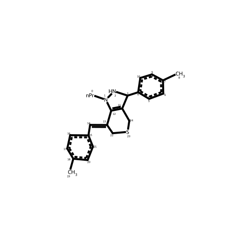 CCCN1NC(c2ccc(C)cc2)C2=C1C(=Cc1ccc(C)cc1)CSC2